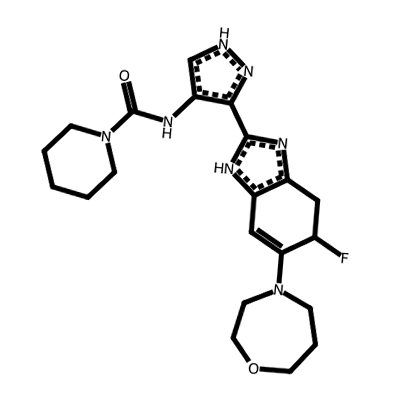 O=C(Nc1c[nH]nc1-c1nc2c([nH]1)C=C(N1CCCOCC1)C(F)C2)N1CCCCC1